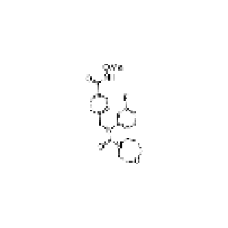 CONC(=O)c1ccc(CN(C(=O)N2CCCOCC2)c2cccc(F)c2)cc1